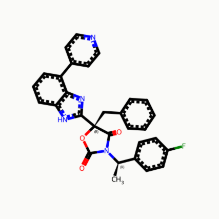 C[C@H](c1ccc(F)cc1)N1C(=O)O[C@](Cc2ccccc2)(c2nc3c(-c4ccncc4)cccc3[nH]2)C1=O